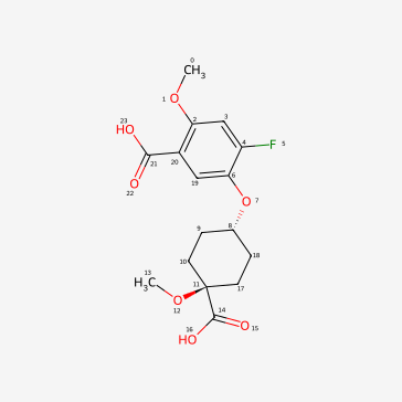 COc1cc(F)c(O[C@H]2CC[C@@](OC)(C(=O)O)CC2)cc1C(=O)O